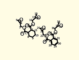 O=C(OCC1CO1)C1CCCCC1C(=O)OCC1CO1.O=C(OCC1CO1)c1ccccc1C(=O)OCC1CO1